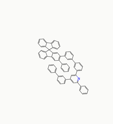 c1ccc(-c2cccc(-c3cc(-c4ccccc4)nc(-c4cccc(-c5cccc(-c6cc7c(cc6-c6ccccc6)-c6ccccc6C76c7ccccc7-c7ccccc76)c5)c4)c3)c2)cc1